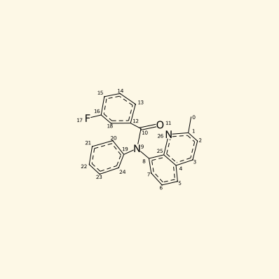 Cc1ccc2cccc(N(C(=O)c3cccc(F)c3)c3ccccc3)c2n1